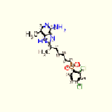 Cc1cnc(N)c2nc(C(C)CCCCCS(=O)(=O)c3ccc(Cl)cc3Cl)[nH]c12